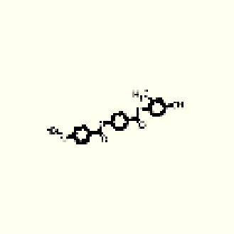 CCCCOc1ccc(C(=O)Oc2ccc(C(=O)Oc3ccc(C)cc3C)cc2)cc1